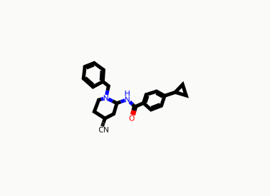 N#CC1CCN(Cc2ccccc2)C(NC(=O)c2ccc(C3CC3)cc2)C1